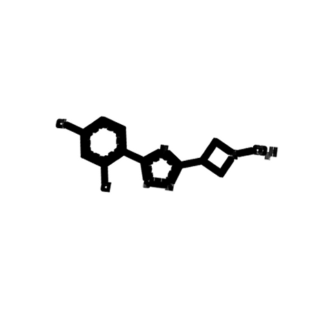 O=C(O)N1CC(c2nsc(-c3ccc(Cl)cc3Cl)n2)C1